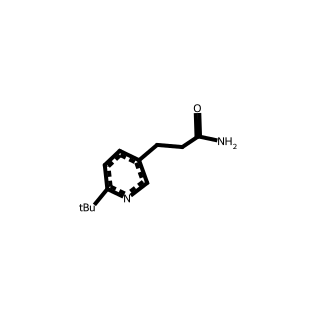 CC(C)(C)c1ccc(CCC(N)=O)cn1